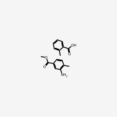 COC(=O)c1ccc(C)c(N)c1.Cc1ccccc1C(=O)O